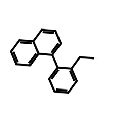 [CH2]Cc1ccccc1-c1cccc2ccccc12